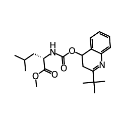 COC(=O)[C@H](CC(C)C)NC(=O)OC1CC(C(C)(C)C)=Nc2ccccc21